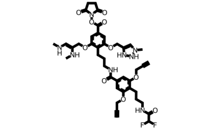 C#CCOc1cc(C(=O)NCCCc2c(OCC3=CN(C)NN3)cc(C(=O)ON3C(=O)CCC3=O)cc2OC/C(=C/NC)NC)cc(OCC#C)c1CCCNC(=O)C(F)F